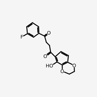 O=C(CCC(=O)c1ccc2c(c1O)OCCO2)c1cccc(F)c1